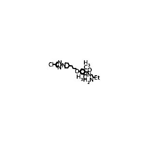 CCC(N)CNC(=O)c1c(C)cc(OCCCC2CCN(c3ncc(Cl)cn3)CC2)cc1C